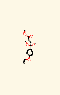 CCOc1ccc(C(CCC(=O)OC)(OC)OC)cc1